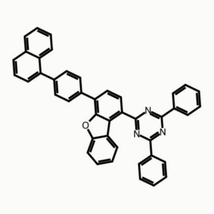 c1ccc(-c2nc(-c3ccccc3)nc(-c3ccc(-c4ccc(-c5cccc6ccccc56)cc4)c4oc5ccccc5c34)n2)cc1